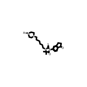 CC(=O)N1CCN(CCCCCCN2C(=S)N(c3ccc4c(c3)CCC4=O)C(=O)C2(C)C)CC1